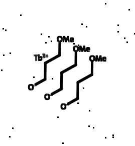 COCCC[O-].COCCC[O-].COCCC[O-].[Tb+3]